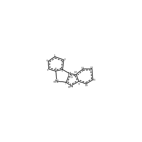 c1ccc2c(c1)[N]c1nc3ccccc3n1-2